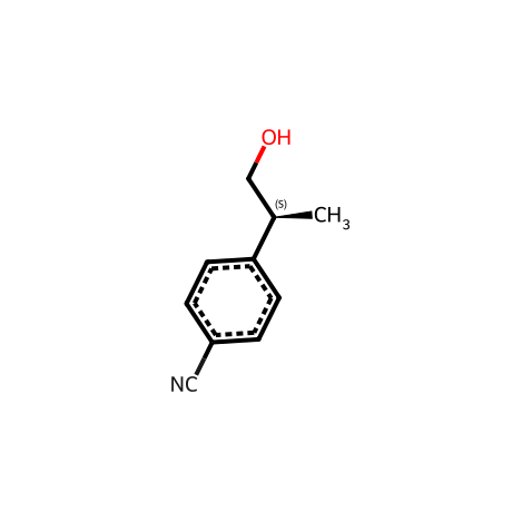 C[C@H](CO)c1ccc(C#N)cc1